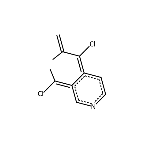 C=C(C)/C(Cl)=c1/ccnc/c1=C(/C)Cl